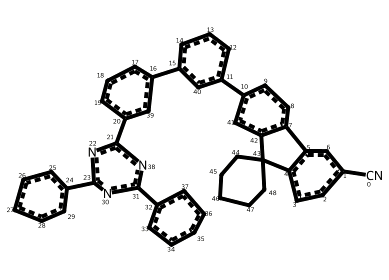 N#Cc1ccc2c(c1)-c1ccc(-c3cccc(-c4cccc(-c5nc(-c6ccccc6)nc(-c6ccccc6)n5)c4)c3)cc1C21CCCCC1